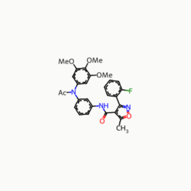 COc1cc(N(C(C)=O)c2cccc(NC(=O)c3c(-c4ccccc4F)noc3C)c2)cc(OC)c1OC